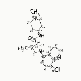 C[C@H]1CN(c2ccc(Cl)c3ncccc23)C[C@@H]1C(=O)NC1CCN(C)CC1